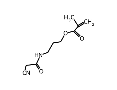 C=C(C)C(=O)OCCCNC(=O)CC#N